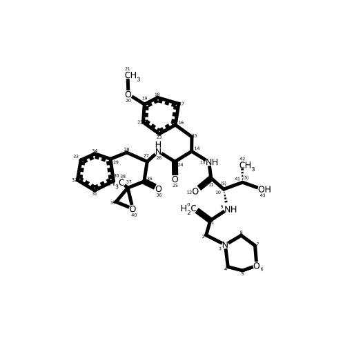 C=C(CN1CCOCC1)N[C@H](C(=O)NC(Cc1ccc(OC)cc1)C(=O)NC(Cc1ccccc1)C(=O)C1(C)CO1)[C@H](C)O